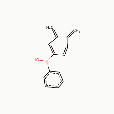 C=C/C=C\C(=C/C=C)B(O)c1ccccc1